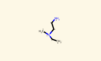 [CH2]CN(C)CCN